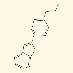 CCCc1ccc(C2=Cc3ccccc3C2)cc1